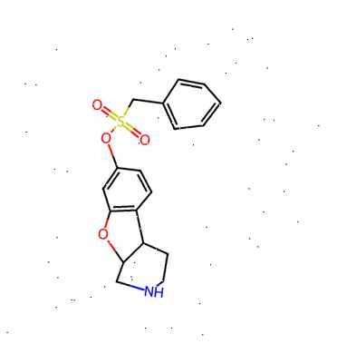 O=S(=O)(Cc1ccccc1)Oc1ccc2c(c1)OC1CNCCC21